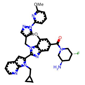 COc1cccc(-n2cc(Cn3c(-c4cc5cccnc5n4CC4CC4)nc4cc(C(=O)N5C[C@H](N)C[C@@H](F)C5)cc(OC)c43)cn2)n1